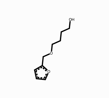 OCCCCOCc1ccco1